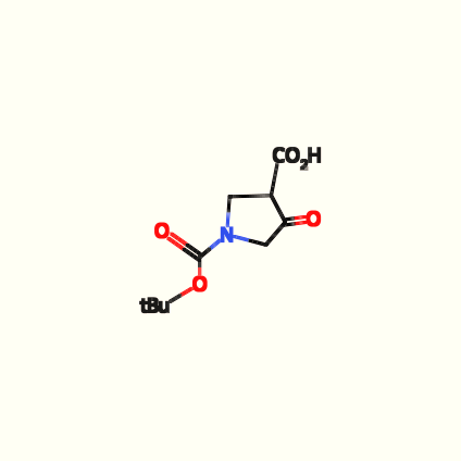 CC(C)(C)OC(=O)N1CC(=O)C(C(=O)O)C1